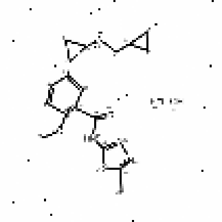 COc1ccc([C@@H]2C[C@H]2NCC2CC2)cc1C(=O)Nc1nnc(C)s1.Cl.Cl